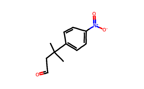 CC(C)(CC=O)c1ccc([N+](=O)[O-])cc1